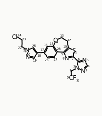 FC(F)(F)Cn1ncnc1-c1nc2c(s1)CCOc1cc(-c3cnn(CCCl)c3)ccc1-2